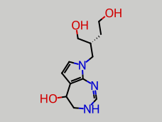 OCC[C@@H](CO)Cn1ccc2c1N=CNCC2O